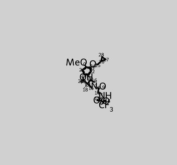 COc1ccc([C@@H]2CN(C(=O)CNS(=O)(=O)C(F)(F)F)C[C@@]2(C)[C@@H](C)O)cc1OCC1CC1